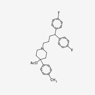 CC(=O)OC1(c2ccc(C)cc2)CCN(CCCC(c2ccc(F)cc2)c2ccc(F)cc2)CC1